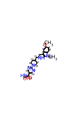 COc1ccc2c(c1)c(CNCC1CCN(c3ncc(C(=O)NO)cn3)CC1)cn2C